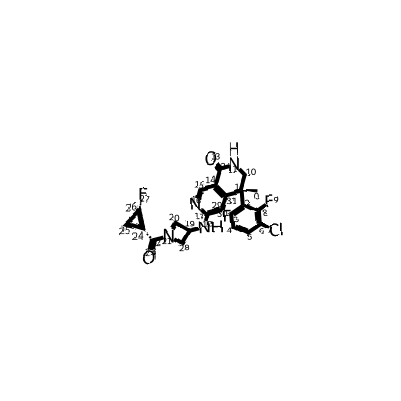 C[C@]1(c2cccc(Cl)c2F)CNC(=O)c2cnc(NC3CN(C(=O)[C@@H]4C[C@@H]4F)C3)c(F)c21